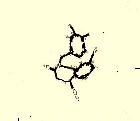 Cc1ccc(CN2C(=O)CCC(=O)c3ccc(Br)cc32)cc1C